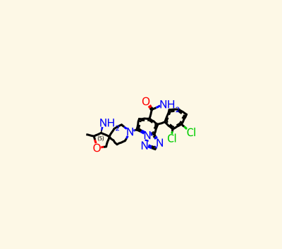 CC1OCC2(CCN(c3cc(C(N)=O)c(-c4cccc(Cl)c4Cl)c4ncnn34)CC2)[C@@H]1N